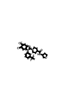 O=C(NC1CCOC1)C1CCN(c2nc3cc(Cl)c(Cl)cc3n2-c2cccc(C(F)(F)F)c2)CC1